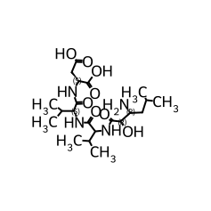 CC(C)C[C@@H](N)[C@@H](O)C(=O)NC(C(=O)N[C@H](C(=O)N[C@@H](CC(=O)O)C(=O)O)C(C)C)C(C)C